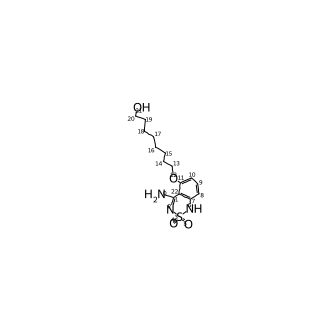 NC1=NS(=O)(=O)Nc2cccc(OCCCCCCCCO)c21